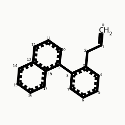 C=C[CH]c1ccccc1-c1cccc2ccccc12